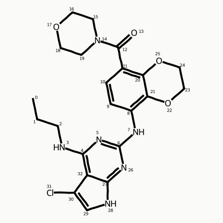 CCCNc1nc(Nc2ccc(C(=O)N3CCOCC3)c3c2OCCO3)nc2[nH]cc(Cl)c12